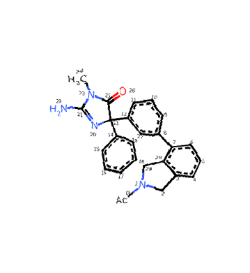 CC(=O)N1Cc2cccc(-c3cccc(C4(c5ccccc5)N=C(N)N(C)C4=O)c3)c2C1